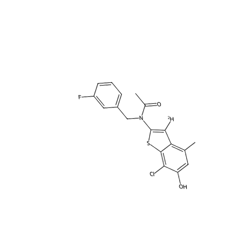 [2H]c1c(N(Cc2cccc(F)c2)C(C)=O)sc2c(Cl)c(O)cc(C)c12